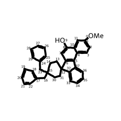 COc1ccc2c3c(cc(O)c2c1)C1(CCC(Cc2ccccc2)(Cc2ccccc2)CC1)c1ccccc1-3